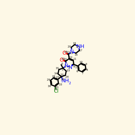 CC1(n2nc(-c3ccccc3)cc(C(=O)N3CCNCC3)c2=O)CCC(N)(c2cccc(Cl)c2)CC1